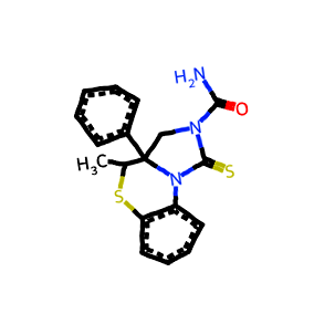 CC1Sc2ccccc2N2C(=S)N(C(N)=O)CC12c1ccccc1